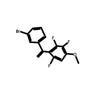 C=C(c1cccc(Br)c1)c1c(F)cc(OC)c(F)c1F